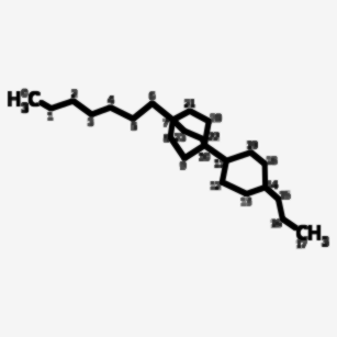 CCCCCCCC12CCC(C3CCC(CCC)CC3)(CC1)CC2